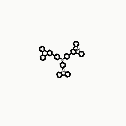 C1=CC2c3ccccc3-c3ccc(-c4ccc(N(C5=CCC(c6cc7c8ccccc8n8c9ccccc9c(c6)c78)C=C5)c5ccc(-n6c7ccccc7c7ccccc76)cc5)cc4)cc3C2C=C1